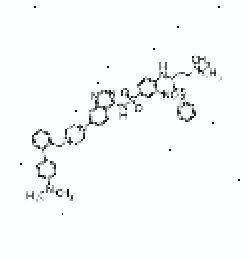 CN(C)CCC(CSc1ccccc1)Nc1ccc(S(=O)(=O)Nc2ncnc3cc(N4CCN(Cc5ccccc5-c5ccc(N(C)C)cc5)CC4)ccc23)cc1[N+](=O)[O-]